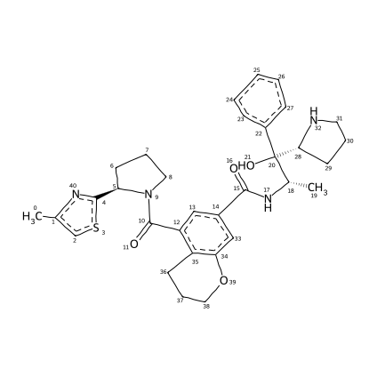 Cc1csc([C@H]2CCCN2C(=O)c2cc(C(=O)N[C@@H](C)C(O)(c3ccccc3)[C@H]3CCCN3)cc3c2CCCO3)n1